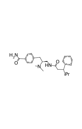 CC(C)C(CC(=O)NC[C@H](Cc1ccc(C(N)=O)cc1)N(C)C)c1ccccc1